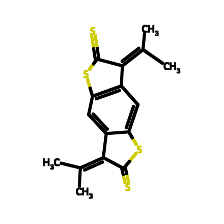 CC(C)=C1C(=S)Sc2cc3c(cc21)SC(=S)C3=C(C)C